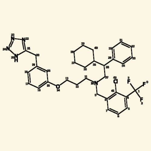 FC(F)(F)c1cccc(CN(CCCOc2cccc(Cc3nnn[nH]3)c2)CC(c2ccccc2)C2CCCCC2)c1Cl